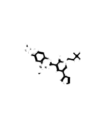 COP1(=O)N=C(c2c(O)c(-c3ccsc3)cn(CCC(C)(C)C)c2=O)Nc2ccc(NS(C)(=O)=O)cc21